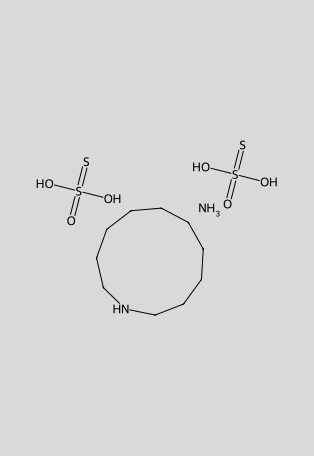 C1CCCCCNCCCC1.N.O=S(O)(O)=S.O=S(O)(O)=S